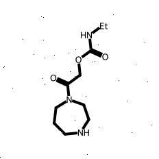 CCNC(=O)OCC(=O)N1CCCNCC1